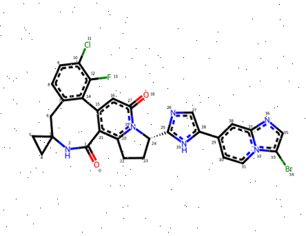 O=C1NC2(CC2)Cc2ccc(Cl)c(F)c2-c2cc(=O)n3c(c21)CC[C@H]3c1ncc(-c2ccn3c(Br)cnc3c2)[nH]1